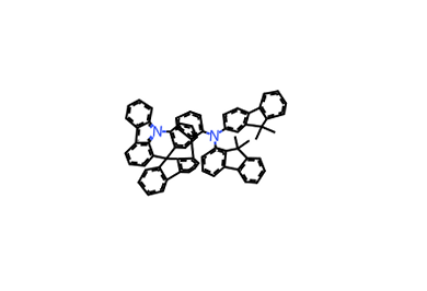 CC1(C)c2ccccc2-c2ccc(N(c3ccccc3-c3cccc4c3C3(c5ccccc5-4)c4ccccc4-n4c5ccccc5c5cccc3c54)c3cccc4c3C(C)(C)c3ccccc3-4)cc21